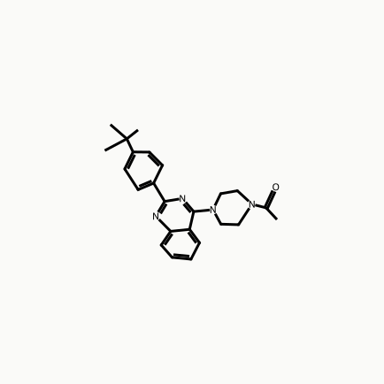 CC(=O)N1CCN(c2nc(-c3ccc(C(C)(C)C)cc3)nc3ccccc23)CC1